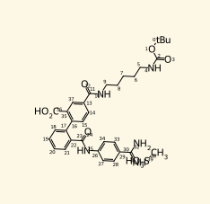 CC(C)(C)OC(=O)NCCCCCNC(=O)c1ccc(-c2ccccc2C(=O)Nc2ccc(C(=N)N)cc2)c(C(=O)O)c1.CS(=O)(=O)O